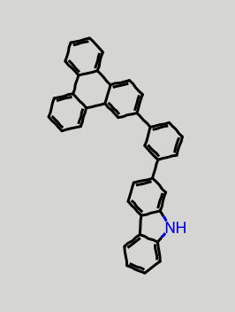 c1cc(-c2ccc3c(c2)[nH]c2ccccc23)cc(-c2ccc3c4ccccc4c4ccccc4c3c2)c1